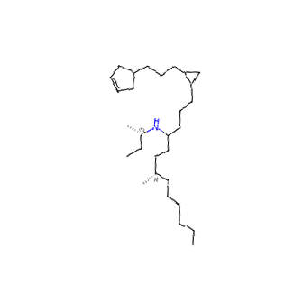 CCCCCC[C@H](C)CCC(CCCC1CC1CCCC1CC=CC1)N[C@@H](C)CC